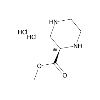 COC(=O)[C@H]1CNCCN1.Cl.Cl